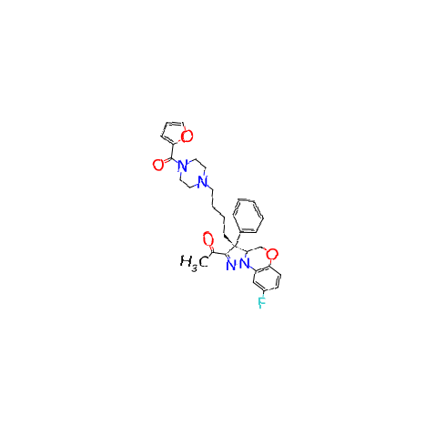 CC(=O)C1=NN2c3cc(F)ccc3OCC2[C@@]1(CCCCN1CCN(C(=O)c2ccco2)CC1)c1ccccc1